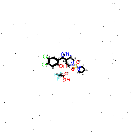 NC(c1cc(Cl)c(Cl)cc1O)C1CCN(S(=O)(=O)N2CCCC2)CC1.O=C(O)C(F)(F)F